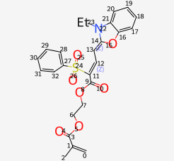 C=C(C)C(=O)OCCOC(=O)/C(=C/C=C1\Oc2ccccc2N1CC)S(=O)(=O)c1ccccc1